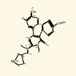 COc1ccc(-c2c(-c3ccc(C#N)c(F)c3)nc(N(C)CC3CCNC3)n(C)c2=O)cc1